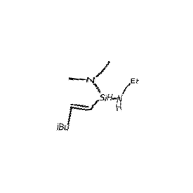 CCN[SiH](C=CC(C)CC)N(C)C